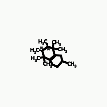 CC1CCC2=C(C1)C(C)(C)[C@H](C)[C@@H](C)C2(C)C